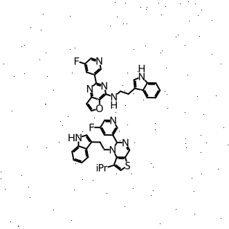 CC(C)c1csc2c1N(CCc1c[nH]c3ccccc13)C(c1cncc(F)c1)N=C2.Fc1cncc(-c2nc(NCCc3c[nH]c4ccccc34)c3occc3n2)c1